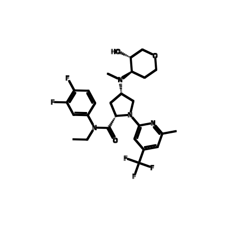 CCN(C(=O)[C@@H]1C[C@H](N(C)[C@@H]2CCOC[C@H]2O)CN1c1cc(C(F)(F)F)cc(C)n1)c1ccc(F)c(F)c1